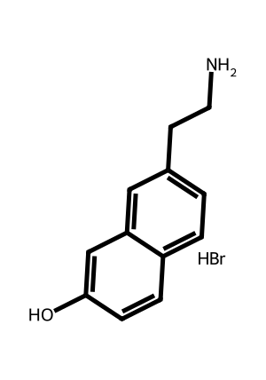 Br.NCCc1ccc2ccc(O)cc2c1